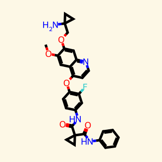 COc1cc2c(Oc3ccc(NC(=O)C4(C(=O)Nc5ccccc5)CC4)cc3F)ccnc2cc1OCC1(N)CC1